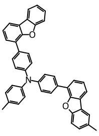 Cc1ccc(N(c2ccc(-c3cccc4c3oc3ccccc34)cc2)c2ccc(-c3cccc4c3oc3ccc(C)cc34)cc2)cc1